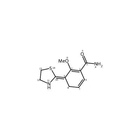 COC1=C(C(N)=O)C=CCC1=C1NCCS1